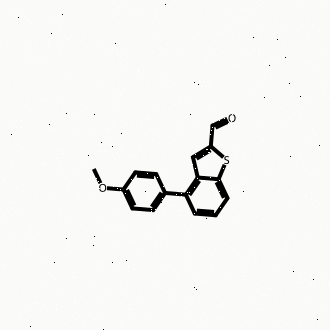 COc1ccc(-c2cccc3sc(C=O)cc23)cc1